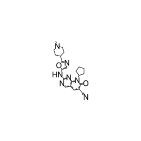 CN1CCC(c2ncc(Nc3ncc4cc(C#N)c(=O)n(C5CCCC5)c4n3)o2)CC1